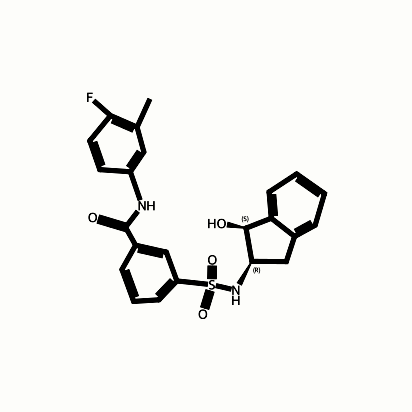 Cc1cc(NC(=O)c2cccc(S(=O)(=O)N[C@@H]3Cc4ccccc4[C@@H]3O)c2)ccc1F